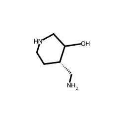 NC[C@@H]1CCNCC1O